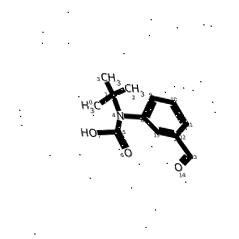 CC(C)(C)N(C(=O)O)c1cccc(C=O)c1